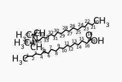 CCCCCCCCCCCCCCCCCC(=O)O.CCCCCCCCCCCCCCCCN(C(C)C)C(C)C